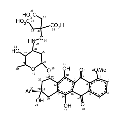 COc1cccc2c1C(=O)c1c(O)c3c(c(O)c1C2=O)C[C@@](O)(C(C)=O)C[C@@H]3OC1CC(NOC(CC(=O)O)(CC(=O)O)C(=O)O)C(O)C(C)O1